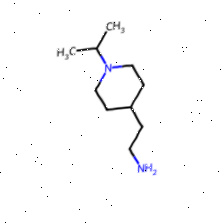 CC(C)N1CCC(CCN)CC1